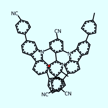 Cc1ccc(-c2ccc3c4ccc(-c5ccc(C#N)cc5)cc4n(-c4cc(C#N)cc(-n5c6cc(-c7ccc(C#N)cc7)ccc6c6ccc(-c7ccc(C#N)cc7)cc65)c4-c4cccc(C)n4)c3c2)cc1